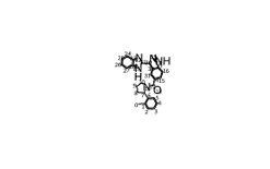 Cc1ccccc1C1CCCN1C(=O)c1ccc2[nH]nc(-c3nc4ccccc4[nH]3)c2c1